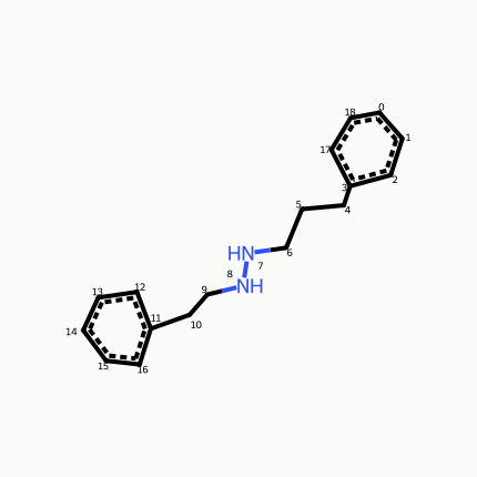 c1ccc(CCCNNCCc2ccccc2)cc1